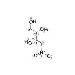 O=[N+]([O-])C[C@H](O)[C@@H](O)CO